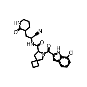 N#CC(CC1CCCNC1=O)NC(=O)C1CC2(CCC2)CN1C(=O)c1cc2cccc(Cl)c2[nH]1